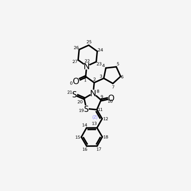 O=C(C(C1CCCC1)N1C(=O)/C(=C/c2ccccc2)SC1=S)N1CCCCC1